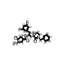 CC(C)N1CC(C(=O)NC(Cc2cc(F)cc(F)c2)C[C@@H]2NCCN(Cc3ccccc3)C2=O)CC1=O